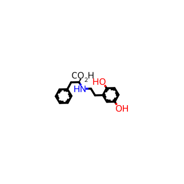 O=C(O)[C@H](Cc1ccccc1)NCCc1cc(O)ccc1O